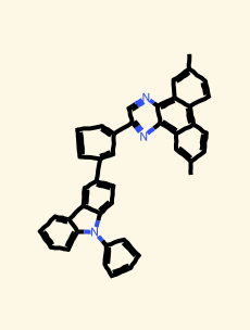 Cc1ccc2c3ccc(C)cc3c3nc(-c4cccc(-c5ccc6c(c5)c5ccccc5n6-c5ccccc5)c4)cnc3c2c1